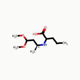 CCCC(N[C@@H](C)CC(OC)OC)C(=O)O